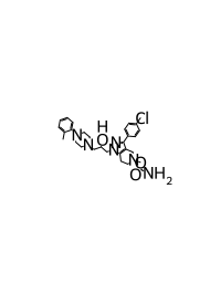 Cc1ccccc1N1CCN(CC(O)Cn2nc(-c3ccc(Cl)cc3)c3c2CCN(OC(N)=O)C3)CC1